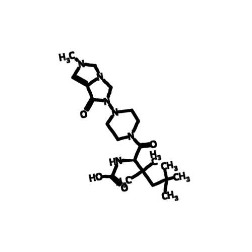 CN1C=C2C(=O)N(N3CCN(C(=O)[C@H](NC(=O)O)C(C)(C)CC(C)(C)C)CC3)CN2C1